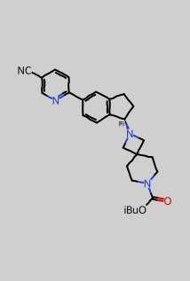 CC(C)COC(=O)N1CCC2(CC1)CN([C@@H]1CCc3cc(-c4ccc(C#N)cn4)ccc31)C2